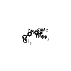 COc1cc(-n2cnc3cc(C4CCCN(C)C4)ccc32)cc(OC)c1C(=O)NCC(F)(F)F